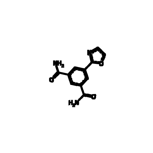 NC(=O)c1cc(C(N)=O)cc(-c2ncco2)c1